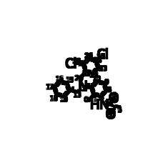 Cc1c(NS(C)(=O)=O)cccc1N(Cc1ccccc1)Cc1ccc(Cl)cc1Cl